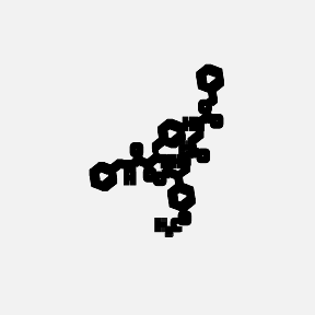 COc1ccc([C@H](CNC(=O)CCNC(=O)OCc2ccccc2)C(=O)N[C@@H](Cc2ccccc2)C(=O)C(=O)NCc2ccccc2)cc1